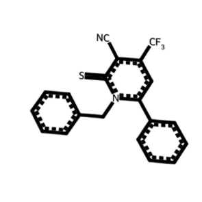 N#Cc1c(C(F)(F)F)cc(-c2ccccc2)n(Cc2ccccc2)c1=S